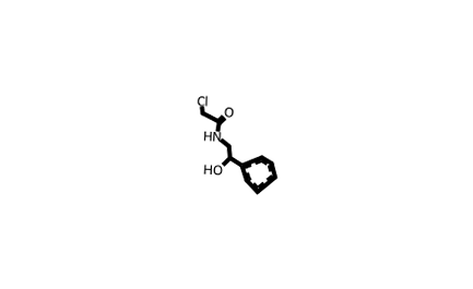 O=C(CCl)NCC(O)c1ccccc1